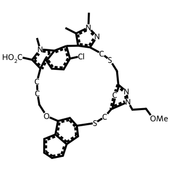 COCCn1nc2cc1CSc1cc(c3ccccc3c1)OCCCc1c(C(=O)O)n(C)c3c(c(Cl)ccc13)-c1c(nn(C)c1C)CSC2